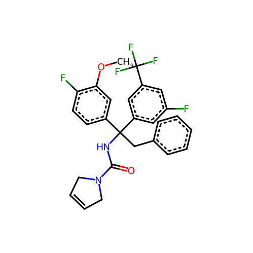 COc1cc(C(Cc2ccccc2)(NC(=O)N2CC=CC2)c2cc(F)cc(C(F)(F)F)c2)ccc1F